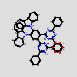 c1ccc(-c2nc(-c3ccccc3)nc(-c3cc(-n4c5ccccc5c5ccccc54)c(-n4c5ccccc5c5ccccc54)cc3-c3nc(-c4ccccc4)nc(-c4ccccc4)n3)n2)cc1